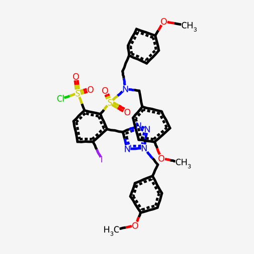 COc1ccc(CN(Cc2ccc(OC)cc2)S(=O)(=O)c2c(S(=O)(=O)Cl)ccc(I)c2-c2nnn(Cc3ccc(OC)cc3)n2)cc1